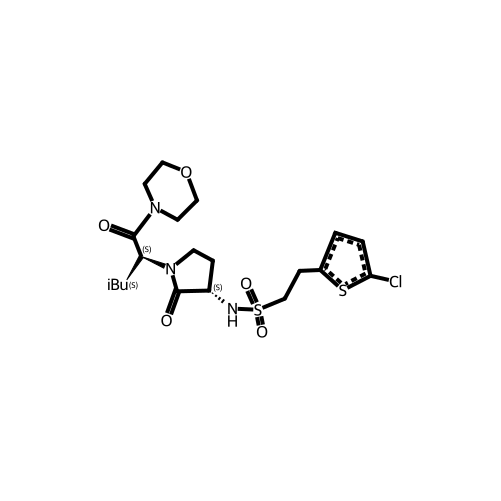 CC[C@H](C)[C@@H](C(=O)N1CCOCC1)N1CC[C@H](NS(=O)(=O)CCc2ccc(Cl)s2)C1=O